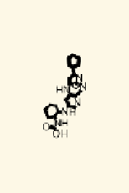 N#Cc1ncc(NC2CCCCC2NC(=O)O)cc1Nc1cc(-c2ccccc2)no1